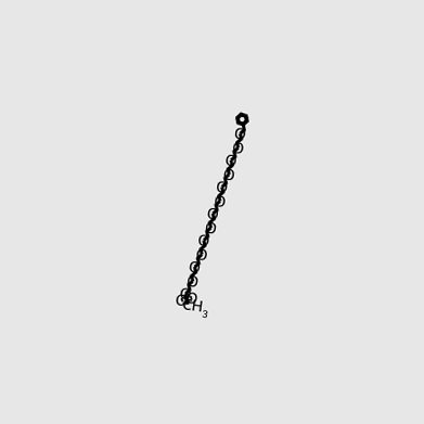 CS(=O)(=O)OCCOCCOCCOCCOCCOCCOCCOCCOCCOCCOCCOCCOCc1ccccc1